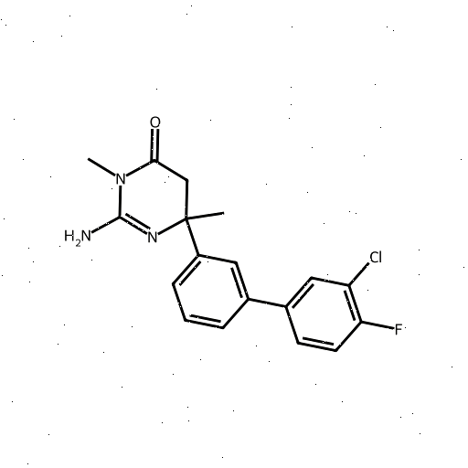 CN1C(=O)CC(C)(c2cccc(-c3ccc(F)c(Cl)c3)c2)N=C1N